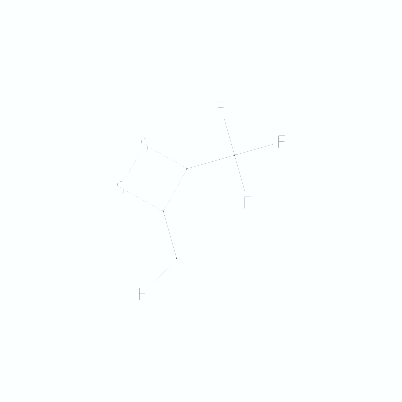 FCC1SSC1C(F)(F)F